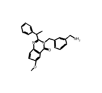 COc1ccc2nc(C(C)c3ccccc3)n(Cc3cccc(CN)c3)c(=O)c2c1